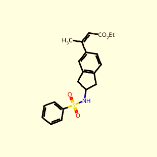 CCOC(=O)/C=C(/C)c1ccc2c(c1)CC(NS(=O)(=O)c1ccccc1)C2